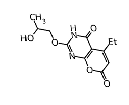 CCc1cc(=O)oc2nc(OCC(C)O)[nH]c(=O)c12